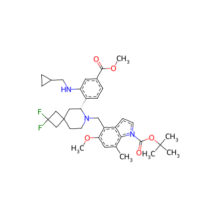 COC(=O)c1ccc([C@H]2CC3(CCN2Cc2c(OC)cc(C)c4c2ccn4C(=O)OC(C)(C)C)CC(F)(F)C3)c(NCC2CC2)c1